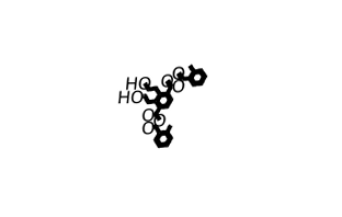 Cc1ccccc1C(=O)OC(=O)c1ccc(C(=O)OC(=O)c2ccccc2C)c(CCO)c1CCO